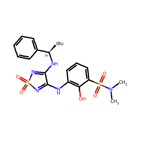 CN(C)S(=O)(=O)c1cccc(NC2=NS(=O)(=O)N=C2N[C@@H](c2ccccc2)C(C)(C)C)c1O